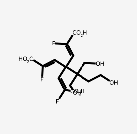 O=C(O)C(F)=CC(C=C(F)C(=O)O)(C=C(F)C(=O)O)C(CO)(CO)CCO